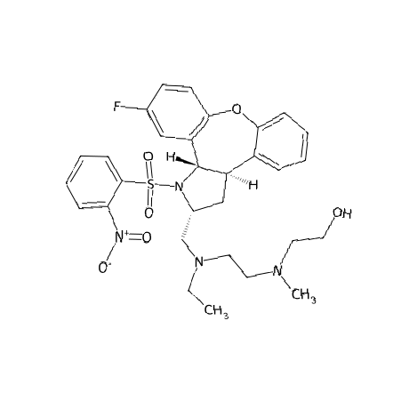 CCN(CCN(C)CCO)C[C@H]1C[C@@H]2c3ccccc3Oc3ccc(F)cc3[C@H]2N1S(=O)(=O)c1ccccc1[N+](=O)[O-]